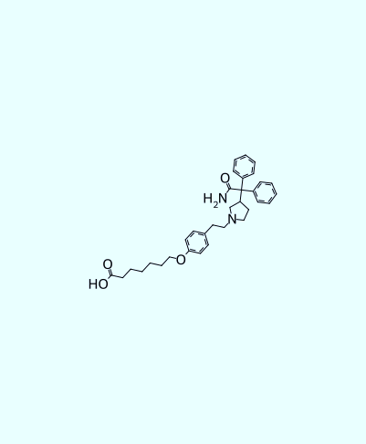 NC(=O)C(c1ccccc1)(c1ccccc1)C1CCN(CCc2ccc(OCCCCCCC(=O)O)cc2)C1